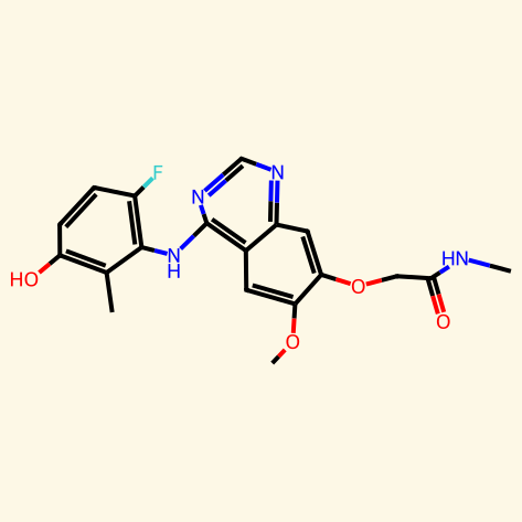 CNC(=O)COc1cc2ncnc(Nc3c(F)ccc(O)c3C)c2cc1OC